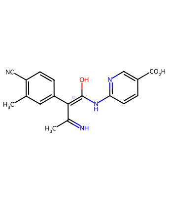 CC(=N)/C(=C(/O)Nc1ccc(C(=O)O)cn1)c1ccc(C#N)c(C)c1